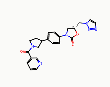 O=C(c1cccnc1)N1CCC(c2ccc(N3C[C@H](Cn4ccnn4)OC3=O)cc2)C1